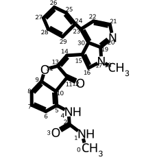 CNC(=O)Nc1cccc2c1C(=O)C(=Cc1cn(C)c3nccc(-c4ccccc4)c13)O2